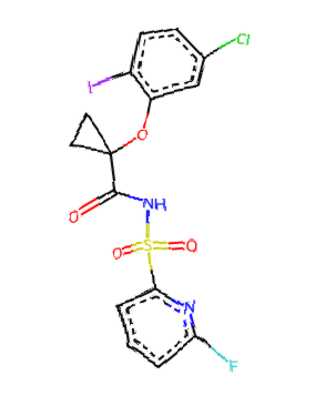 O=C(NS(=O)(=O)c1cccc(F)n1)C1(Oc2cc(Cl)ccc2I)CC1